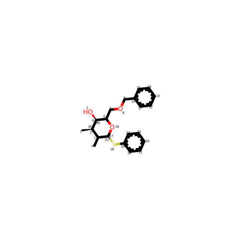 CC1[C@@H](C)[C@@H](O)C(COCc2ccccc2)O[C@H]1Sc1ccccc1